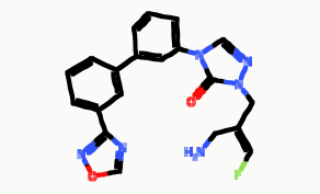 NC/C(=C\F)Cn1ncn(-c2cccc(-c3cccc(-c4ncon4)c3)c2)c1=O